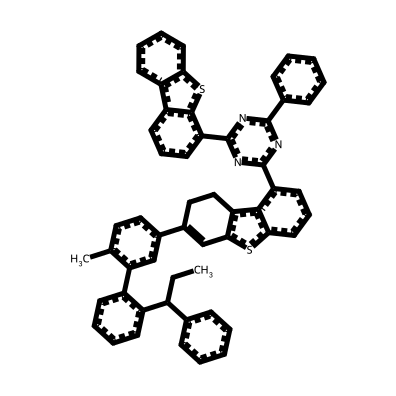 CCC(c1ccccc1)c1ccccc1-c1cc(C2=Cc3sc4cccc(-c5nc(-c6ccccc6)nc(-c6cccc7c6sc6ccccc67)n5)c4c3CC2)ccc1C